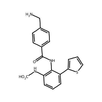 NCc1ccc(C(=O)Nc2c(NC(=O)O)cccc2-c2cccs2)cc1